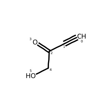 C#CC(=O)CO